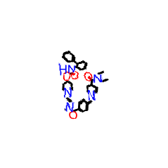 CCN(CC)C(=O)C1CCN(Cc2ccc(C(=O)N(C)CCN3CCC(OC(=O)Nc4ccccc4-c4ccccc4)CC3)cc2)CC1